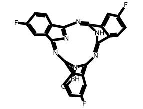 Fc1ccc2c(c1)-c1nc-2nc2[nH]c(nc3c4cc(F)ccc4c(n1)n3BCl)c1ccc(F)cc21